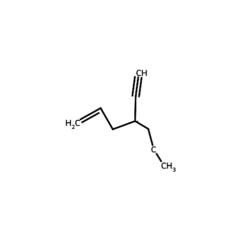 C#C[C](CC=C)CCC